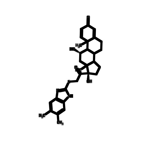 Cc1cc2nc(SCC(=O)[C@@]3(O)CCC4C5CCC6=CC(=O)C=CC6(C)C5[C@@H](O)CC43C)[nH]c2cc1C